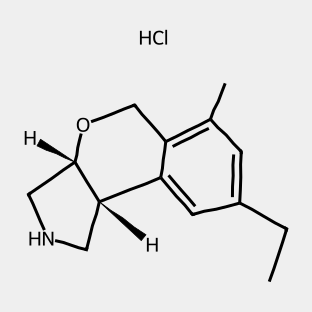 CCc1cc(C)c2c(c1)[C@@H]1CNC[C@@H]1OC2.Cl